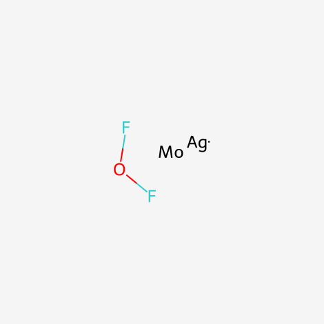 FOF.[Ag].[Mo]